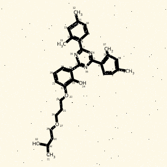 Cc1ccc(-c2nc(-c3ccc(C)cc3C)nc(-c3cccc(OCCCOCCC(C)O)c3O)n2)c(C)c1